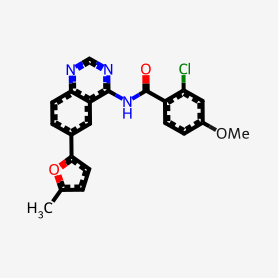 COc1ccc(C(=O)Nc2ncnc3ccc(-c4ccc(C)o4)cc23)c(Cl)c1